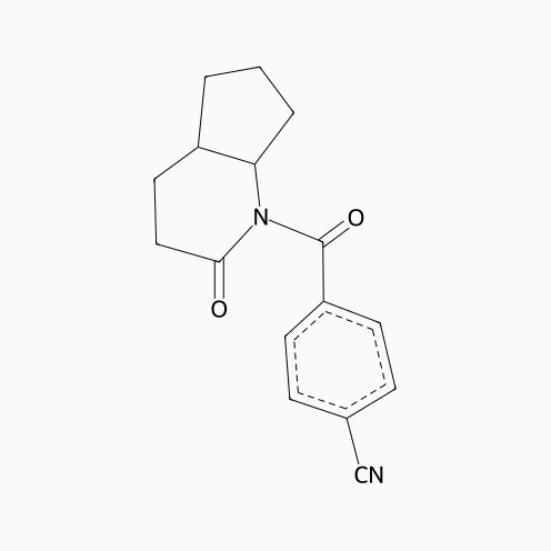 N#Cc1ccc(C(=O)N2C(=O)CCC3CCCC32)cc1